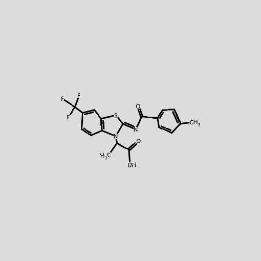 Cc1ccc(C(=O)/N=c2\sc3cc(C(F)(F)F)ccc3n2C(C)C(=O)O)cc1